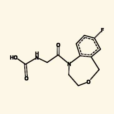 O=C(O)NCC(=O)N1CCOCc2cc(F)ccc21